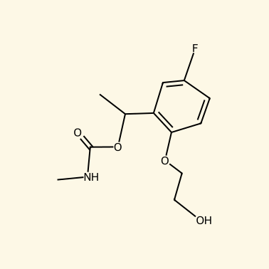 CNC(=O)OC(C)c1cc(F)ccc1OCCO